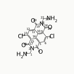 NCN1C(=O)c2cc(Cl)c3c4c(cc(Cl)c(c24)C1=O)C(=O)N(CN)C3=O